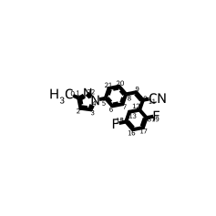 Cc1ccn(-c2ccc(C=C(C#N)C3CC(F)=CC=C3F)cc2)n1